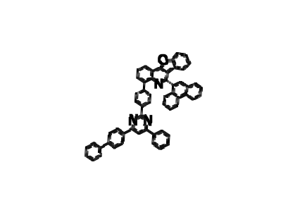 c1ccc(-c2ccc(-c3cc(-c4ccccc4)nc(-c4ccc(-c5cccc6c5nc(-c5cc7ccccc7c7ccccc57)c5c7ccccc7oc65)cc4)n3)cc2)cc1